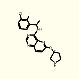 CC(Nc1ncnc2ccc(O[C@H]3CCNC3)nc12)c1cccc(Cl)c1F